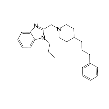 CCCn1c(CN2CCC(CCCc3ccccc3)CC2)nc2ccccc21